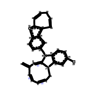 C=C1/C=C\C=C/CN2/C(=N\1)N(c1ccc3oc4c(c3c1)C=CCC=C4)c1ccc(Cl)cc12